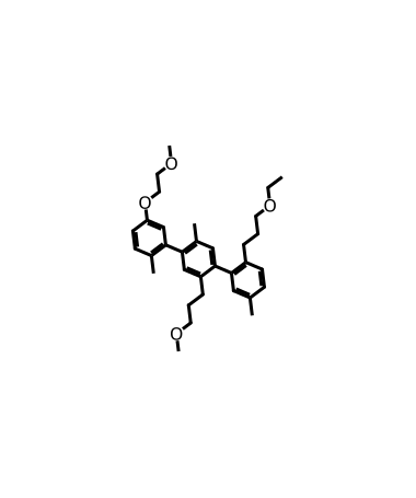 CCOCCCc1ccc(C)cc1-c1cc(C)c(-c2cc(OCCOC)ccc2C)cc1CCCOC